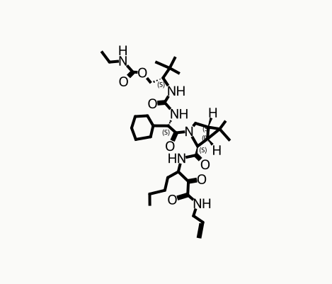 C=CCNC(=O)C(=O)C(CCCC)NC(=O)[C@@H]1[C@@H]2[C@H](CN1C(=O)[C@@H](NC(=O)N[C@H](COC(=O)NCC)C(C)(C)C)C1CCCCC1)C2(C)C